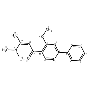 COc1nc(-c2ccccc2)ncc1C(=O)C=C(C)N(C)C